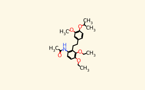 CCOc1ccc(NC(C)=O)c(CCc2ccc(OC(C)C)c(OC)c2)c1OCC